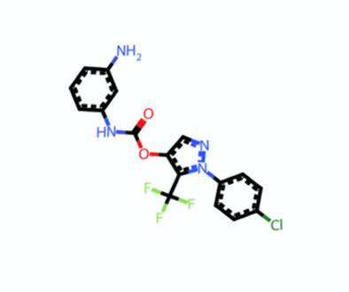 Nc1cccc(NC(=O)Oc2cnn(-c3ccc(Cl)cc3)c2C(F)(F)F)c1